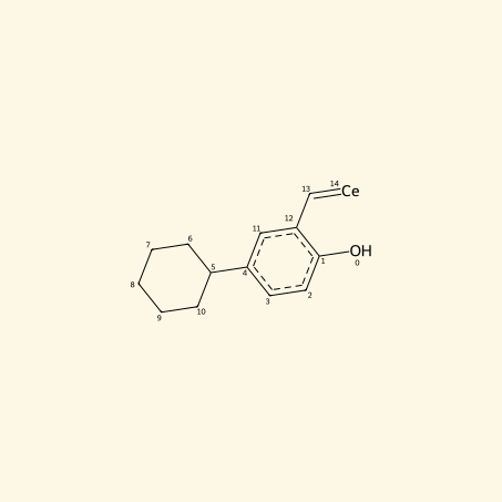 Oc1ccc(C2CCCCC2)cc1[CH]=[Ce]